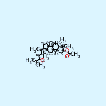 CC(=O)O[C@H]1CC[C@]23C[C@]24CC[C@]2(C)C([C@H](C)CCC(=O)C(C)C)CC[C@@]2(C)C4CCC3C1(C)C